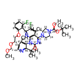 COCOCCOc1cccc(F)c1-c1nc2c(cc1F)c(N1CCN(C(=O)OC(C)(C)C)C[C@@H]1C)nc(=O)n2-c1c(C)ccnc1C(C)C